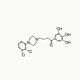 O=C(CCCN1CCN(c2cccc(Cl)c2Cl)CC1)c1cc(O)c(O)c(O)c1